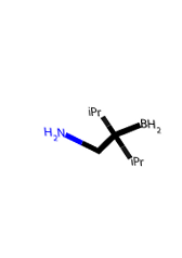 BC(CN)(C(C)C)C(C)C